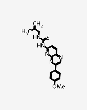 C=C(C)CNC(=S)Nc1ccc2ncc(-c3ccc(OC)cc3)nc2n1